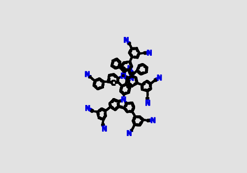 N#Cc1cccc(-c2ccc(-n3c4ccc(-c5cc(C#N)cc(C#N)c5)cc4c4cc(-c5cc(C#N)cc(C#N)c5)ccc43)c(-c3cc(-n4c5ccc(-c6cc(C#N)cc(C#N)c6)cc5c5cc(-c6cc(C#N)cc(C#N)c6)ccc54)ccc3-c3nc(-c4ccccc4)nc(-c4ccccc4)n3)c2)c1